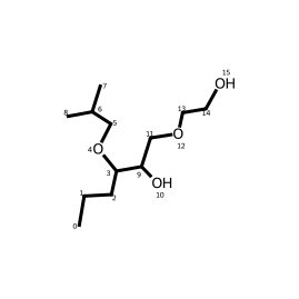 CCCC(OCC(C)C)C(O)COCCO